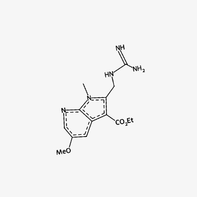 CCOC(=O)c1c(CNC(=N)N)n(C)c2ncc(OC)cc12